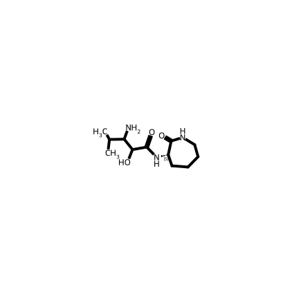 CC(C)C(N)C(O)C(=O)N[C@H]1CCCCNC1=O